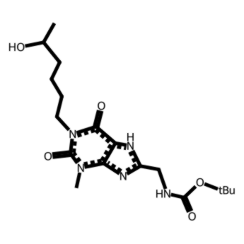 CC(O)CCCCn1c(=O)c2[nH]c(CNC(=O)OC(C)(C)C)nc2n(C)c1=O